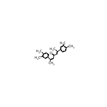 CC(=CC(=O)C=C(C)c1ccc(C)c(C)c1)c1ccc(C)c(C)c1